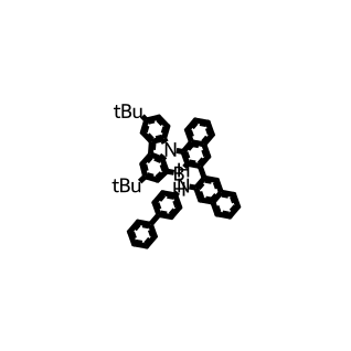 CC(C)(C)c1ccc2c(c1)c1cc(C(C)(C)C)cc3c1n2-c1c(c(-c2cc4ccccc4cc2Nc2ccc(-c4ccccc4)cc2)cc2ccccc12)B3